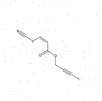 N#CS/C=C\C(=O)OCC#CI